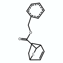 O=C(OCc1ccccc1)C1CC2C=CC1CC2